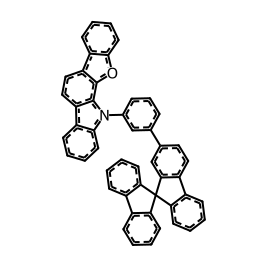 c1cc(-c2ccc3c(c2)C2(c4ccccc4-c4ccccc42)c2ccccc2-3)cc(-n2c3ccccc3c3ccc4c5ccccc5oc4c32)c1